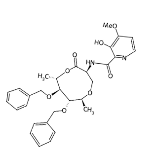 COc1ccnc(C(=O)N[C@H]2CO[C@@H](C)[C@H](OCc3ccccc3)[C@@H](OCc3ccccc3)[C@H](C)OC2=O)c1O